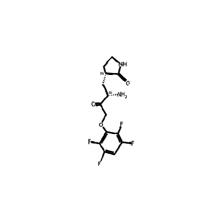 N[C@@H](C[C@@H]1CCNC1=O)C(=O)COc1c(F)c(F)cc(F)c1F